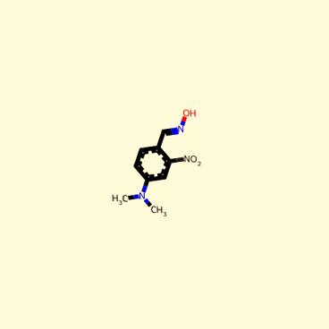 CN(C)c1ccc(C=NO)c([N+](=O)[O-])c1